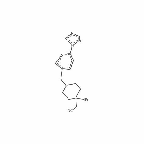 CC(C)C1(CC#N)CCN(Cc2ccc(-n3cncn3)cc2)CC1